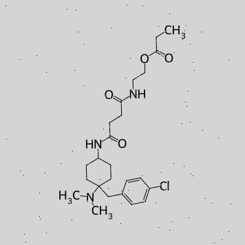 CCC(=O)OCCNC(=O)CCC(=O)NC1CCC(Cc2ccc(Cl)cc2)(N(C)C)CC1